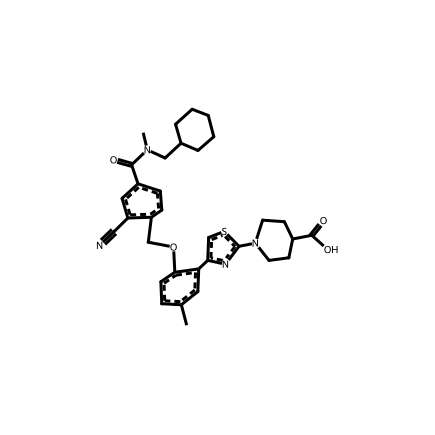 Cc1ccc(OCc2ccc(C(=O)N(C)CC3CCCCC3)cc2C#N)c(-c2csc(N3CCC(C(=O)O)CC3)n2)c1